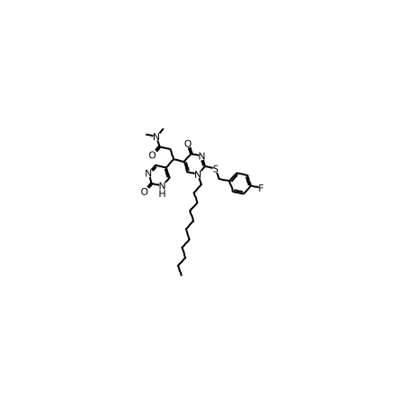 CCCCCCCCCCCn1cc(C(CC(=O)N(C)C)c2cnc(=O)[nH]c2)c(=O)nc1SCc1ccc(F)cc1